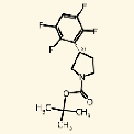 CC(C)(C)OC(=O)N1CC[C@@H](c2c(F)c(F)cc(F)c2F)C1